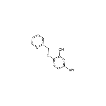 CCCc1ccc(OCc2ccccn2)c(O)c1